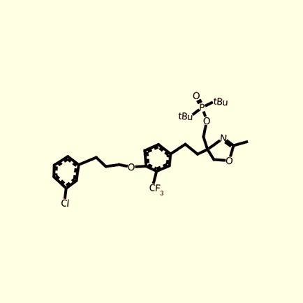 CC1=NC(CCc2ccc(OCCCc3cccc(Cl)c3)c(C(F)(F)F)c2)(COP(=O)(C(C)(C)C)C(C)(C)C)CO1